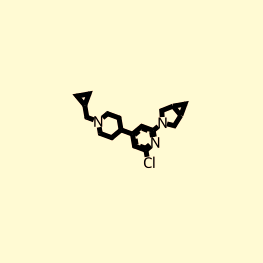 Clc1cc(C2CCN(CC3CC3)CC2)cc(N2CC3CC3C2)n1